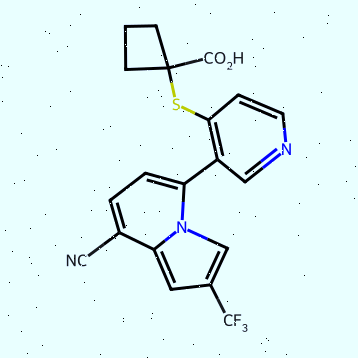 N#Cc1ccc(-c2cnccc2SC2(C(=O)O)CCC2)n2cc(C(F)(F)F)cc12